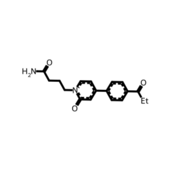 CCC(=O)c1ccc(-c2ccn(CCCC(N)=O)c(=O)c2)cc1